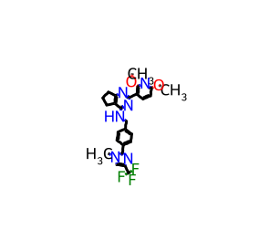 COc1ccc(-c2nc3c(c(NCc4ccc(-c5nc(C(F)(F)F)cn5C)cc4)n2)CCC3)c(OC)n1